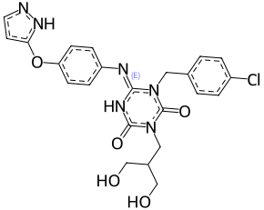 O=c1[nH]/c(=N\c2ccc(Oc3ccn[nH]3)cc2)n(Cc2ccc(Cl)cc2)c(=O)n1CC(CO)CO